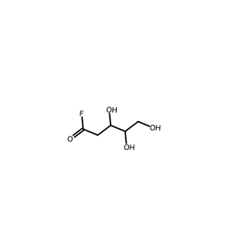 O=C(F)CC(O)C(O)CO